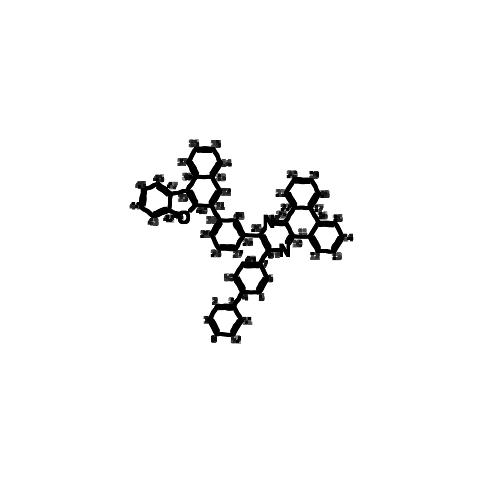 c1ccc(-c2ccc(-c3nc4c5ccccc5c5ccccc5c4nc3-c3cccc(-c4cc5ccccc5c5c4oc4ccccc45)c3)cc2)cc1